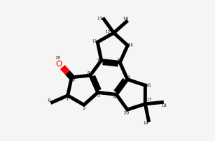 CC1Cc2c3c(c4c(c2C1=O)CC(C)(C)C4)CC(C)(C)C3